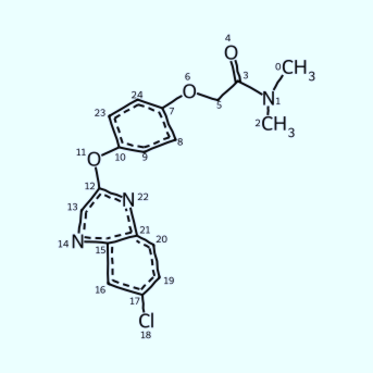 CN(C)C(=O)COc1ccc(Oc2cnc3cc(Cl)ccc3n2)cc1